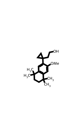 COc1cc2c(cc1C1(CCO)CC1)C(C)(C)CCC2(C)C